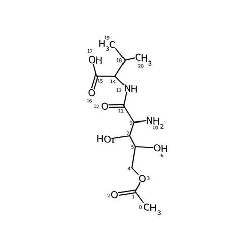 CC(=O)OCC(O)C(O)C(N)C(=O)NC(C(=O)O)C(C)C